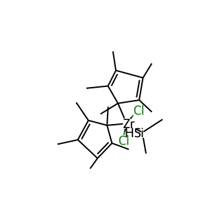 CC1=C(C)[C](C)([Zr]([Cl])([Cl])([SiH](C)C)[C]2(C)C(C)=C(C)C(C)=C2C)C(C)=C1C